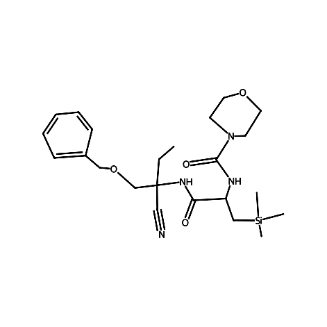 CCC(C#N)(COCc1ccccc1)NC(=O)C(C[Si](C)(C)C)NC(=O)N1CCOCC1